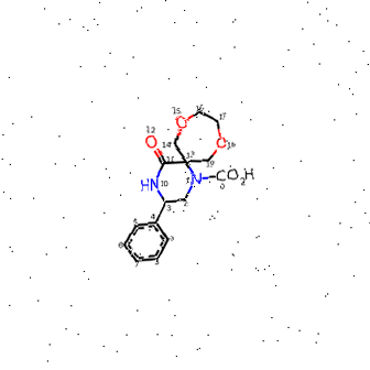 O=C(O)N1CC(c2ccccc2)NC(=O)C12COCCOC2